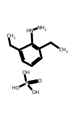 CCc1cccc(CC)c1NN.O=P(O)(O)O